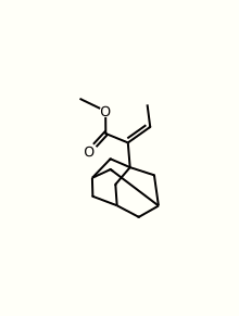 CC=C(C(=O)OC)C12CC3CC(CC(C3)C1)C2